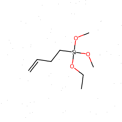 C=CCC[Si](OC)(OC)OCC